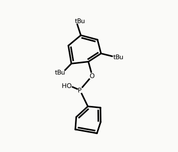 CC(C)(C)c1cc(C(C)(C)C)c(OP(O)c2ccccc2)c(C(C)(C)C)c1